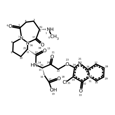 CN[C@H]1CCC(=O)N2CCC[C@@H](C(=O)N[C@@H](CC(=O)O)C(=O)COc3nc4ccccn4c(=O)c3Cl)N2C1=O